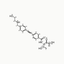 C[C@@H](O)[C@H](NC(=O)c1ccc(C#Cc2ccc(CNCCO)cc2)cc1)C(=O)NO